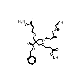 C=CNOC(=O)CCOCC(COCCC(=O)ON)(COCCC(=O)ON)C(=O)OCc1ccccc1